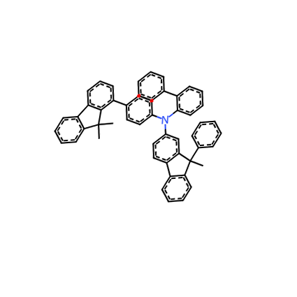 CC1(C)c2ccccc2-c2cccc(-c3ccc(N(c4ccc5c(c4)C(C)(c4ccccc4)c4ccccc4-5)c4ccccc4-c4ccccc4)cc3)c21